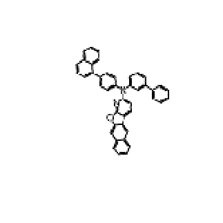 c1ccc(-c2cccc(N(c3ccc(-c4cccc5ccccc45)cc3)c3ccc4c(n3)oc3cc5ccccc5cc34)c2)cc1